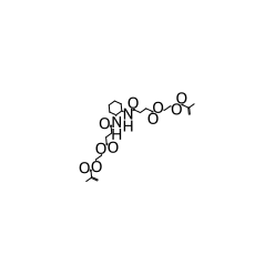 C=C(C)C(=O)OCCOC(=O)CCC(=O)NC1CCCCC1NC(=O)CCC(=O)OCCOC(=O)C(=C)C